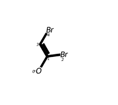 [O]C(Br)=CBr